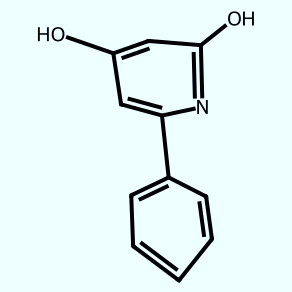 Oc1cc(O)nc(-c2ccccc2)c1